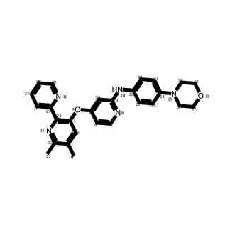 Cc1cc(Oc2ccnc(Nc3ccc(N4CCOCC4)cc3)c2)c(-c2ccccn2)nc1C